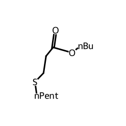 CCCCCSCCC(=O)OCCCC